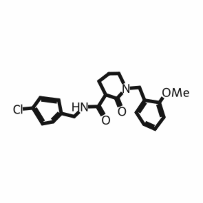 COc1ccccc1CN1CCCC(C(=O)NCc2ccc(Cl)cc2)C1=O